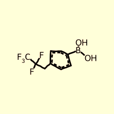 OB(O)c1ccc(CC(F)(F)C(F)(F)F)cc1